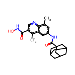 Cc1cc(NC(=O)C23CC4CC(CC(C4)C2)C3)cc2c(C(F)(F)F)c(C(=O)NO)cnc12